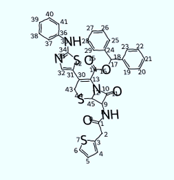 O=C(Cc1cccs1)NC1C(=O)N2C(C(=O)OC(c3ccccc3)c3ccccc3)=C(c3cnc(Nc4ccccc4)s3)CSC12